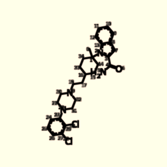 CC1(n2c(C(N)=O)cc3ccccc32)CCC(CCN2CCN(c3cccc(Cl)c3Cl)CC2)CC1